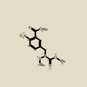 COC(=O)c1cc(CN(OC(C)(C)C)C(=O)OC(C)(C)C)ccc1[N+](=O)[O-]